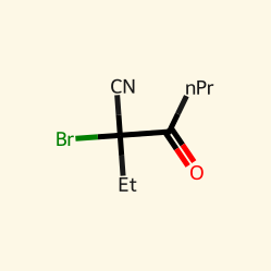 CCCC(=O)C(Br)(C#N)CC